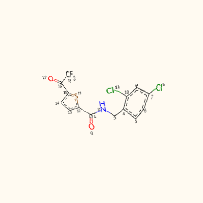 O=C(NCc1ccc(Cl)cc1Cl)c1ccc(C(=O)C(F)(F)F)s1